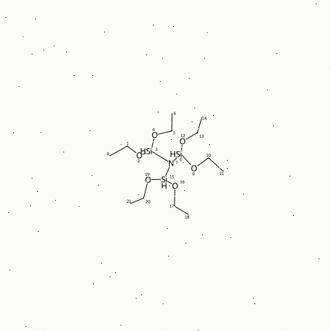 CCO[SiH](OCC)N([SiH](OCC)OCC)[SiH](OCC)OCC